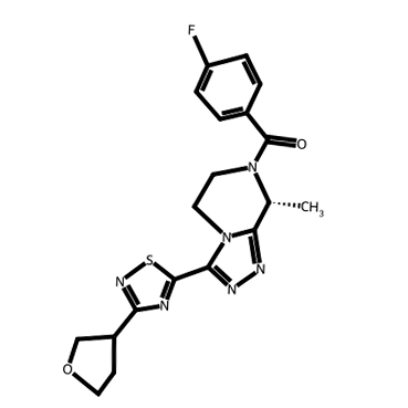 C[C@@H]1c2nnc(-c3nc(C4CCOC4)ns3)n2CCN1C(=O)c1ccc(F)cc1